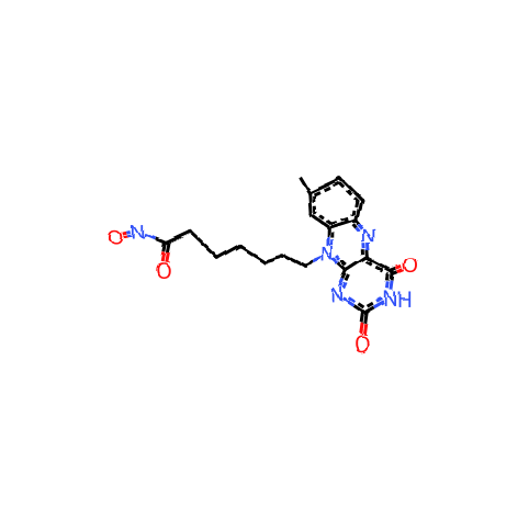 Cc1ccc2nc3c(=O)[nH]c(=O)nc-3n(CCCCCCC(=O)N=O)c2c1